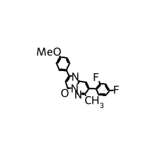 COc1ccc(-c2cc(=O)n3nc(C)c(-c4ccc(F)cc4F)cc3n2)cc1